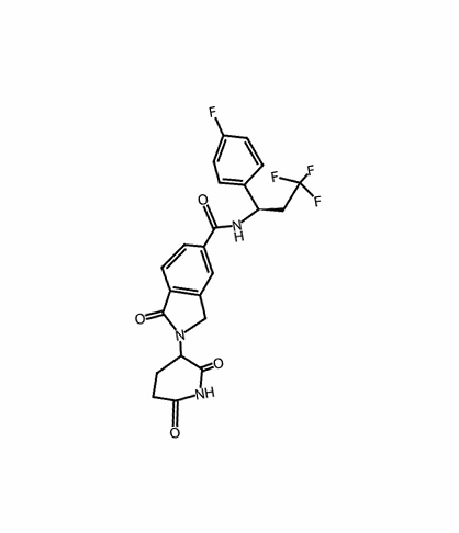 O=C1CCC(N2Cc3cc(C(=O)N[C@H](CC(F)(F)F)c4ccc(F)cc4)ccc3C2=O)C(=O)N1